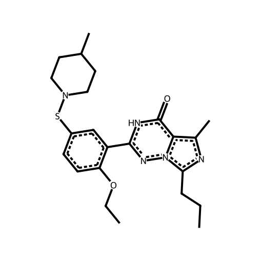 CCCc1nc(C)c2c(=O)[nH]c(-c3cc(SN4CCC(C)CC4)ccc3OCC)nn12